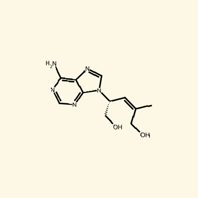 CC(=C[C@H](CO)n1cnc2c(N)ncnc21)CO